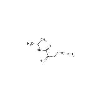 C=C=CCC(=C)C(=O)NC(C)C